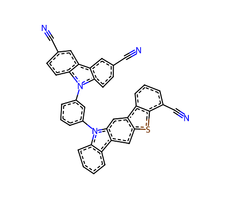 N#Cc1ccc2c(c1)c1cc(C#N)ccc1n2-c1cccc(-n2c3ccccc3c3cc4sc5c(C#N)cccc5c4cc32)c1